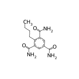 CCCCc1c(C(N)=O)cc(C(N)=O)cc1C(N)=O